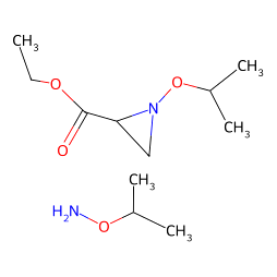 CC(C)ON.CCOC(=O)C1CN1OC(C)C